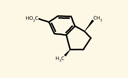 C[C@@H]1CC[C@H](C)c2ccc(C(=O)O)cc21